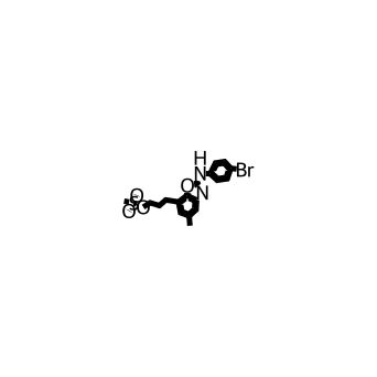 Cc1cc(CCCOS(C)(=O)=O)c2oc(Nc3ccc(Br)cc3)nc2c1